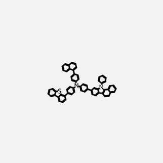 c1ccc(-n2c3cc(-c4ccc(N(c5ccc(-c6cccc7ccccc67)cc5)c5ccc(-c6cccc7c6sc6ccccc67)cc5)cc4)ccc3c3ccc4ccccc4c32)cc1